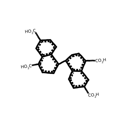 O=C(O)c1ccc2c(-c3ccc(C(=O)O)c4cc(C(=O)O)ccc34)ccc(C(=O)O)c2c1